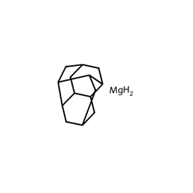 C1C2CC3C4CC5CC(C14)C(C2)C3C5.[MgH2]